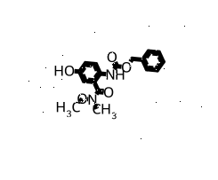 CON(C)C(=O)c1cc(O)ccc1NC(=O)OCc1ccccc1